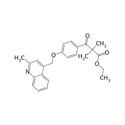 CCOC(=O)C(C)(C)C(=O)c1ccc(OCc2cc(C)nc3ccccc23)cc1